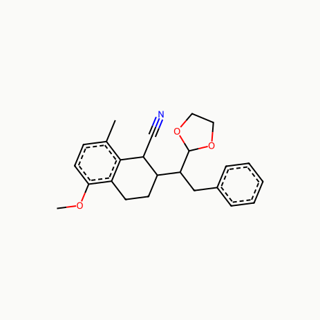 COc1ccc(C)c2c1CCC(C(Cc1ccccc1)C1OCCO1)C2C#N